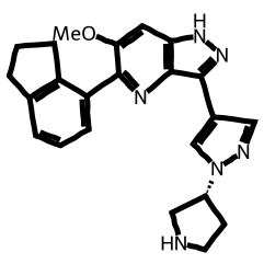 COc1cc2[nH]nc(-c3cnn([C@@H]4CCNC4)c3)c2nc1-c1cccc2c1CCC2